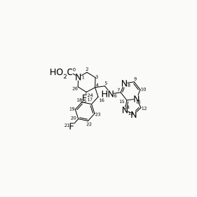 O=C(O)N1CCC(CNc2nccn3cnnc23)(Cc2ccc(F)cc2)[C@H](F)C1